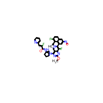 C#Cc1c(F)ccc2cc(N=O)cc(-c3ncc4c(N5CC6(NC(=O)/C(F)=C/c7ccccn7)CCC5C6)nc(OC)nc4c3F)c12